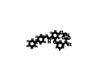 CCN(C(=O)OC(C)(C)C)c1cccc(Oc2cc(Cl)ccc2NCc2ccc(-c3ccccc3)cc2)c1